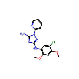 COc1cc(OC)c(Nc2nc(N)n(-c3ccccn3)n2)cc1Cl